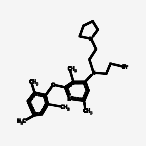 Cc1cc(C)c(Oc2nc(C)cc(N(CCC(C)C)CCN3CCCC3)c2C)c(C)c1